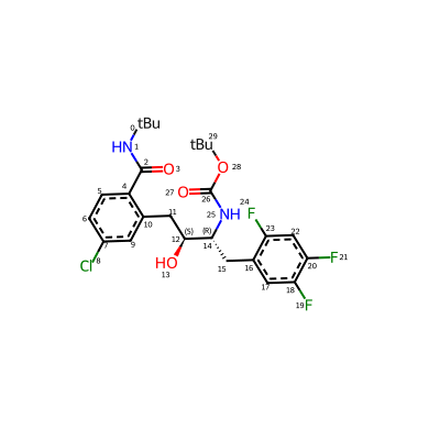 CC(C)(C)NC(=O)c1ccc(Cl)cc1C[C@H](O)[C@@H](Cc1cc(F)c(F)cc1F)NC(=O)OC(C)(C)C